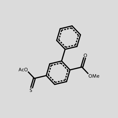 COC(=O)c1ccc(C(=S)OC(C)=O)cc1-c1ccccc1